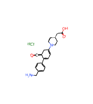 Cl.NCc1ccc(C2=CC=C(N3CCC(CC(=O)O)CC3)CC2=C=O)cc1